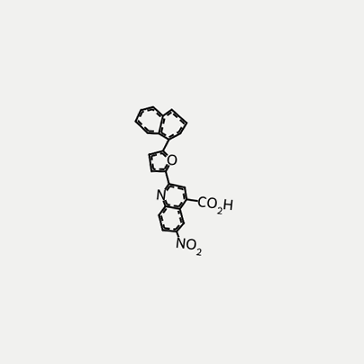 O=C(O)c1cc(-c2ccc(-c3cccc4ccccc34)o2)nc2ccc([N+](=O)[O-])cc12